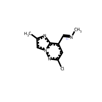 C/N=C/c1cc(Cl)nn2cc(C)nc12